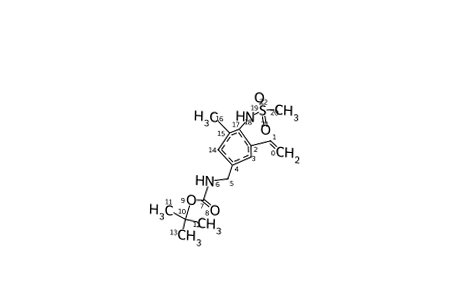 C=Cc1cc(CNC(=O)OC(C)(C)C)cc(C)c1NS(C)(=O)=O